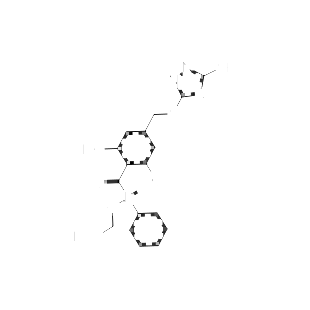 CCOP(=O)(C(=O)c1c(C)cc(CSc2nnc(S)s2)cc1C)c1ccccc1